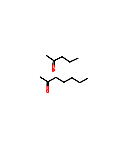 CCCC(C)=O.CCCCCC(C)=O